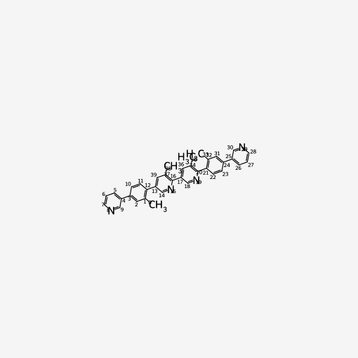 Cc1cc(-c2cccnc2)ccc1-c1cnc(-c2cnc(-c3ccc(-c4cccnc4)cc3C)c(C)c2)c(C)c1